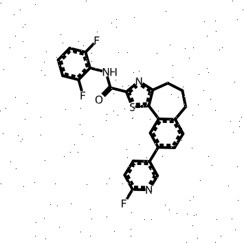 O=C(Nc1c(F)cccc1F)c1nc2c(s1)-c1cc(-c3ccc(F)nc3)ccc1CCC2